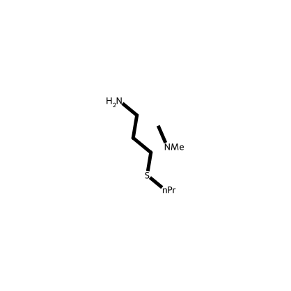 CCCSCCCN.CNC